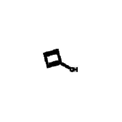 OC1=CC=C1